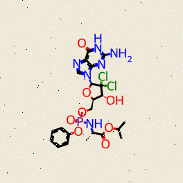 CC(C)OC(=O)[C@H](C)NP(=O)(OC[C@H]1O[C@@H](n2cnc3c(=O)[nH]c(N)nc32)C(Cl)(Cl)[C@@H]1O)Oc1ccccc1